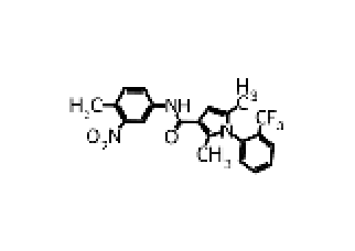 Cc1ccc(NC(=O)c2cc(C)n(-c3ccccc3C(F)(F)F)c2C)cc1[N+](=O)[O-]